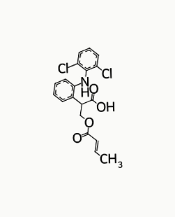 CC=CC(=O)OCC(C(=O)O)c1ccccc1Nc1c(Cl)cccc1Cl